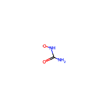 NC(=O)N[O]